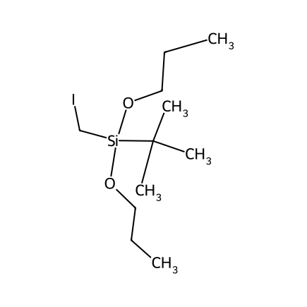 CCCO[Si](CI)(OCCC)C(C)(C)C